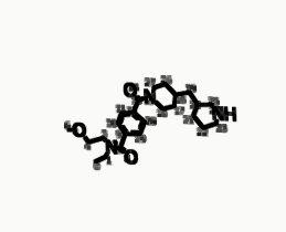 CCN(CCOC)C(=O)c1ccc(C(=O)N2CCC(CC3CCCNC3)CC2)cc1